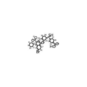 COC(=O)c1c(-c2ccccc2)c2cc(Br)ccc2c(=O)n1Cc1ccc(C(S)c2ccc(C(=O)O)cc2)cc1